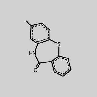 Cc1ccc2c(c1)NC(=O)c1ccccc1S2